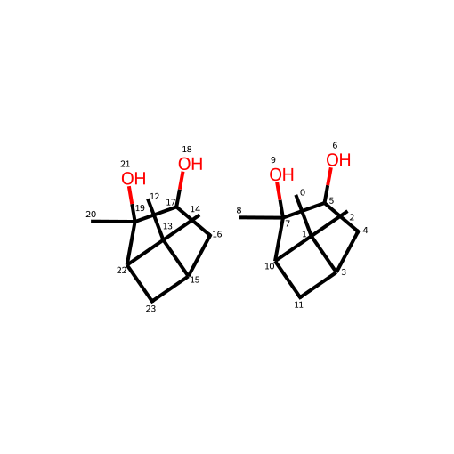 CC1(C)C2CC(O)C(C)(O)C1C2.CC1(C)C2CC(O)C(C)(O)C1C2